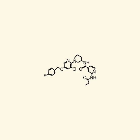 CCC(=O)Nc1cc(C(=O)NC2CCCN(c3ncc(OCc4ccc(F)cc4)cc3Cl)C2)ccn1